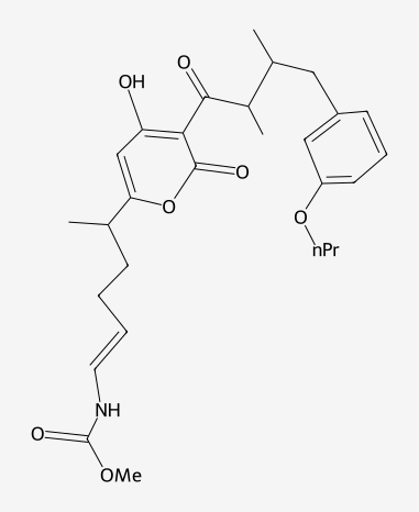 CCCOc1cccc(CC(C)C(C)C(=O)c2c(O)cc(C(C)CC/C=C/NC(=O)OC)oc2=O)c1